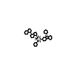 c1ccc(-c2nc(-c3ccc4c5ccccc5n(-c5ccccc5)c4c3)nc(-c3cccc4c(-c5cccc6ccccc56)cccc34)n2)cc1